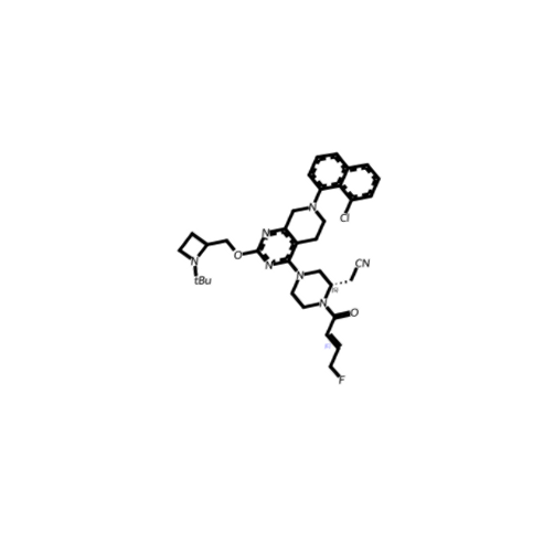 CC(C)(C)N1CCC1COc1nc2c(c(N3CCN(C(=O)/C=C/CF)[C@@H](CC#N)C3)n1)CCN(c1cccc3cccc(Cl)c13)C2